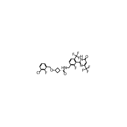 O=c1cc(C(F)(F)F)nc(-c2c(C(F)(F)F)ccc(CNC(=O)[C@H]3C[C@H](OCc4cccc(Cl)c4F)C3)c2F)[nH]1